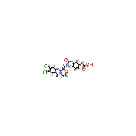 CC(=O)N(C[C@@H]1CN(Cc2ccc(Cl)c(Cl)c2)CCO1)Sc1ccc(CC(=O)O)cc1